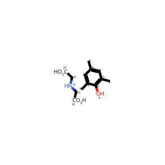 Cc1cc(C)c(O)c(C)c1.O=C(O)CNCC(=O)O